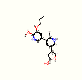 CCCOc1cc(-c2cc([C@H]3COB(O)C3)cnc2C)cnc1OC